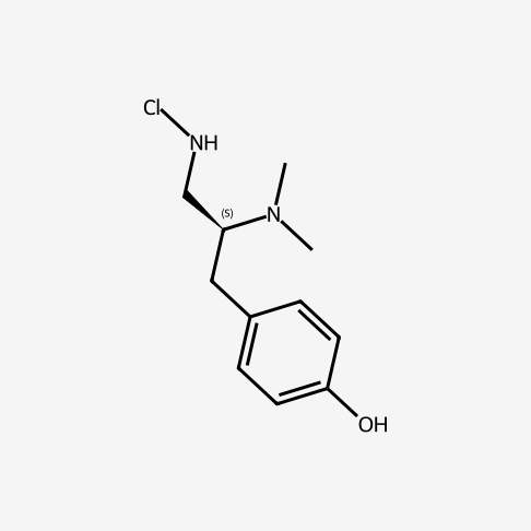 CN(C)[C@H](CNCl)Cc1ccc(O)cc1